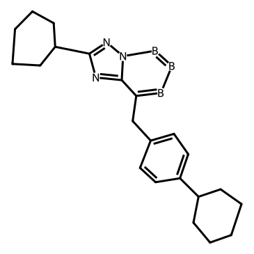 b1bc(Cc2ccc(C3CCCCC3)cc2)c2nc(C3CCCCC3)nn2b1